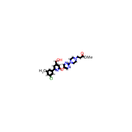 COC(=O)CCN1CCN(c2ncc(Oc3cc(CO)cc(-c4cc(C)cc(Cl)c4)n3)cn2)CC1